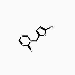 O=c1ncncn1Cc1ccc(C(F)(F)F)o1